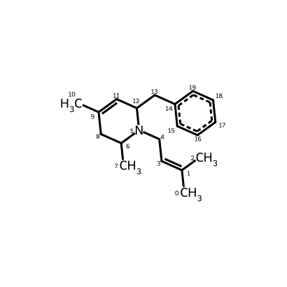 CC(C)=CCN1C(C)CC(C)=CC1Cc1ccccc1